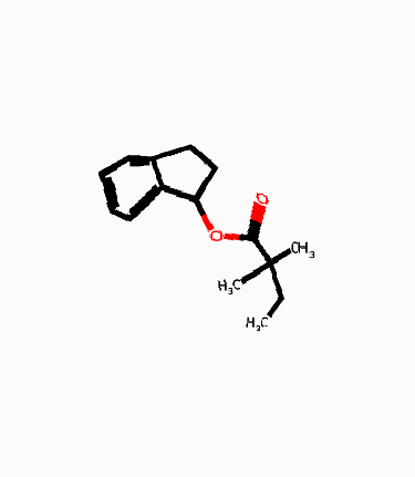 CCC(C)(C)C(=O)OC1CCc2ccccc21